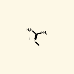 C[S+]=C(N)N.[I-]